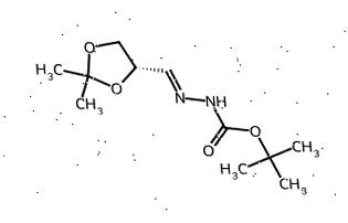 CC(C)(C)OC(=O)NN=C[C@H]1COC(C)(C)O1